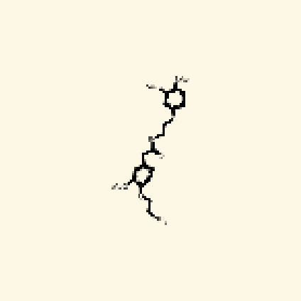 COc1cc(CC(=O)NCCOc2ccc(SC)c(SC)c2)ccc1OCCN